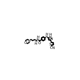 N#Cc1ccc(-c2cc(Nc3ccc(C(=O)NNCCCN4CCOCC4)cc3)[nH]n2)s1